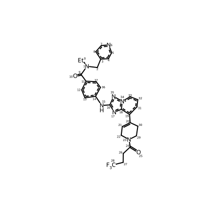 CCN(Cc1ccncc1)C(=O)c1ccc(Nc2nc3c(C4=CCN(C(=O)CCC(F)(F)F)CC4)cccn3n2)cc1